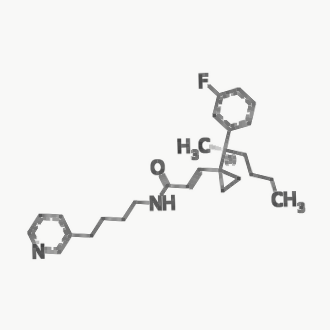 CCCC[C@](C)(c1cccc(F)c1)C1(C=CC(=O)NCCCCc2cccnc2)CC1